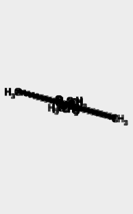 CCCCCCCCCCCCCCCCCCNC(=O)CCN(CCN(CCC(=O)NCCCCCCCCCCCCCCCCC)C(C)C)C(C)C